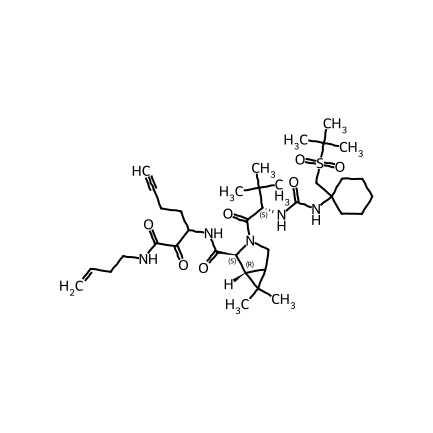 C#CCCC(NC(=O)[C@@H]1[C@@H]2C(CN1C(=O)[C@@H](NC(=O)NC1(CS(=O)(=O)C(C)(C)C)CCCCC1)C(C)(C)C)C2(C)C)C(=O)C(=O)NCCC=C